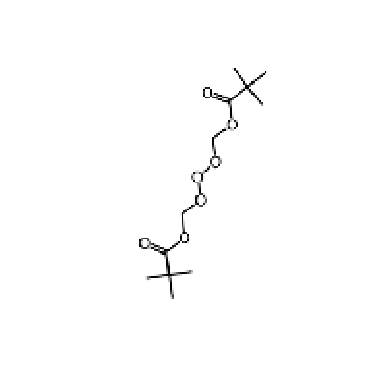 CC(C)(C)C(=O)OCOOOCOC(=O)C(C)(C)C